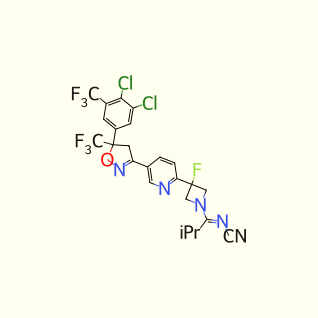 CC(C)C(=NC#N)N1CC(F)(c2ccc(C3=NOC(c4cc(Cl)c(Cl)c(C(F)(F)F)c4)(C(F)(F)F)C3)cn2)C1